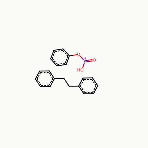 O=[PH](O)Oc1ccccc1.c1ccc(CCc2ccccc2)cc1